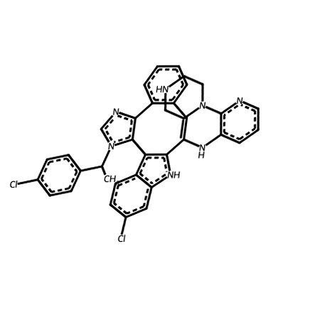 CC(c1ccc(Cl)cc1)n1cnc2c1-c1c([nH]c3cc(Cl)ccc13)/C(Nc1cccnc1N1CCNCC1)=C\c1ccccc1-2